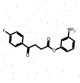 Nc1cccc(OC(=O)CCC(=O)c2ccc(F)cc2)c1